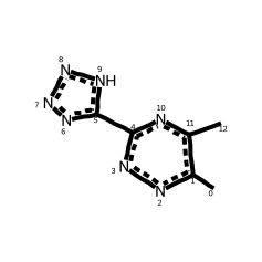 Cc1nnc(-c2nnn[nH]2)nc1C